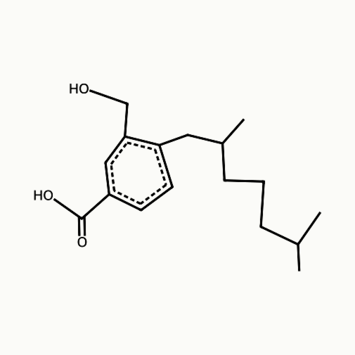 CC(C)CCCC(C)Cc1ccc(C(=O)O)cc1CO